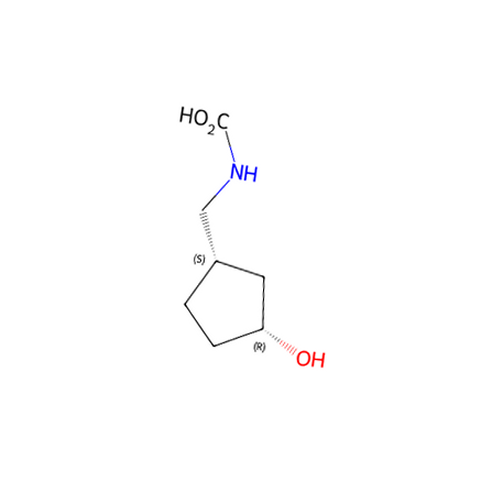 O=C(O)NC[C@H]1CC[C@@H](O)C1